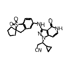 N#CCC(C1CC1)n1nc(Nc2ccc3c(c2)CC2(CCCC2)S3(=O)=O)c2c(=O)[nH]ccc21